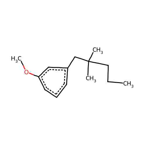 CCCC(C)(C)Cc1cccc(OC)c1